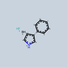 B.F.c1cc[nH]c1.c1ccccc1